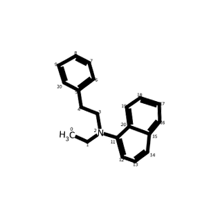 CCN(CCc1ccccc1)c1cccc2ccccc12